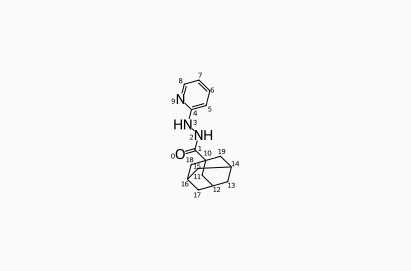 O=C(NNc1ccccn1)C12CC3CC(CC(C3)C1)C2